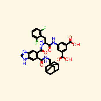 O=C(O)c1cc(NC(=O)C(Cc2c(F)cccc2F)NC(=O)c2cc3nc[nH]c3cc2C(=O)NCC23CC4CC(CC(C4)C2)C3)cc(C(=O)O)c1